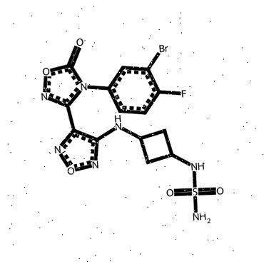 NS(=O)(=O)NC1CC(Nc2nonc2-c2noc(=O)n2-c2ccc(F)c(Br)c2)C1